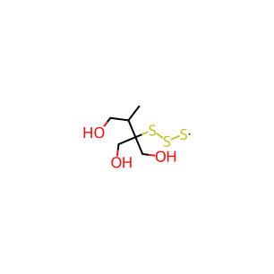 CC(CO)C(CO)(CO)SS[S]